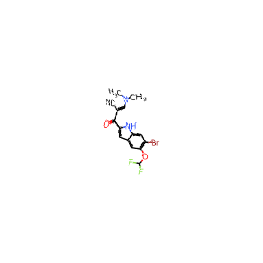 CN(C)C=C(C#N)C(=O)c1cc2cc(OC(F)F)c(Br)cc2[nH]1